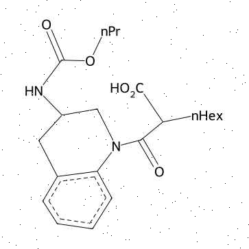 CCCCCCC(C(=O)O)C(=O)N1CC(NC(=O)OCCC)Cc2ccccc21